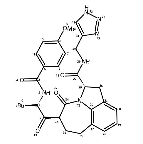 CC[C@H](C)[C@H](NC(=O)c1ccc(OC)cc1)C(=O)[C@@H]1CCc2cccc3c2N(C1=O)[C@H](C(=O)NCc1c[nH]nn1)C3